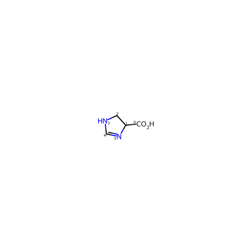 O=C(O)C1CN[C]=N1